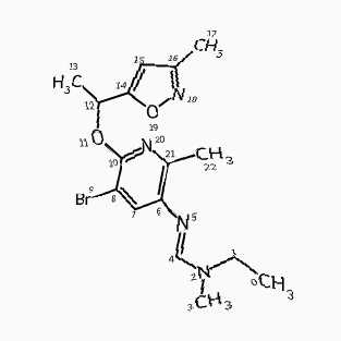 CCN(C)/C=N/c1cc(Br)c(OC(C)c2cc(C)no2)nc1C